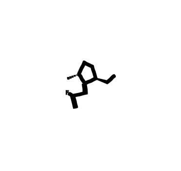 C=C(F)/C=C1/[C@H](CC)CC[C@H]1C